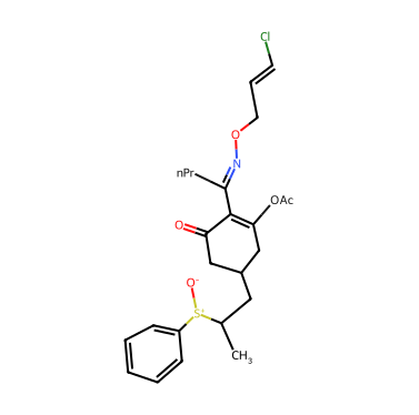 CCCC(=NOC/C=C/Cl)C1=C(OC(C)=O)CC(CC(C)[S+]([O-])c2ccccc2)CC1=O